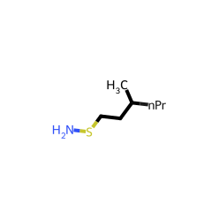 CCCC(C)CCSN